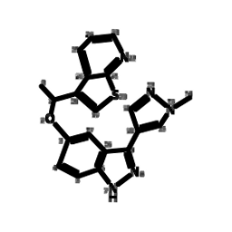 CC(Oc1ccc2[nH]nc(-c3cnn(C)c3)c2c1)c1csc2ncccc12